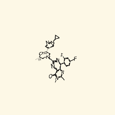 Cc1nc2c(-c3ccc(F)cc3F)nc(N3C[C@@H](c4cnn(C5CC5)c4)O[C@@H](C)C3)nc2c(=O)n1C